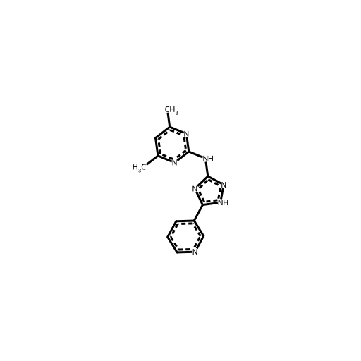 Cc1cc(C)nc(Nc2n[nH]c(-c3cccnc3)n2)n1